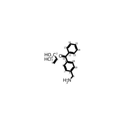 C=CC(=O)O.Cl.NCc1ccc(C(=O)c2ccccc2)cc1